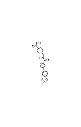 O=C(O)C1=CCC(CNC(=O)c2cc(-c3ccc(OC(F)(F)F)cc3)cs2)C=C1